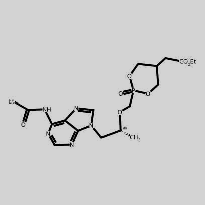 CCOC(=O)CC1COP(=O)(CO[C@H](C)Cn2cnc3c(NC(=O)CC)ncnc32)OC1